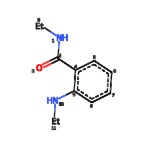 CCNC(=O)c1ccccc1NCC